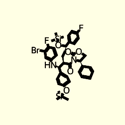 C[Si](C)(C)Oc1ccc([C@@H](Nc2ccc(F)c(Br)c2)[C@@H](CC[C@H](O[Si](C)(C)C)c2ccc(F)cc2)C(=O)N2C(=O)OC[C@@H]2c2ccccc2)cc1